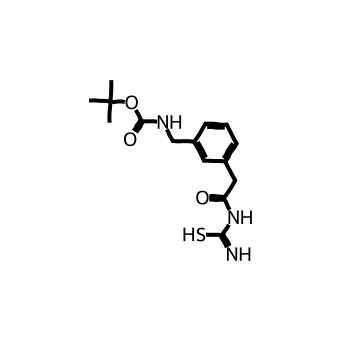 CC(C)(C)OC(=O)NCc1cccc(CC(=O)NC(=N)S)c1